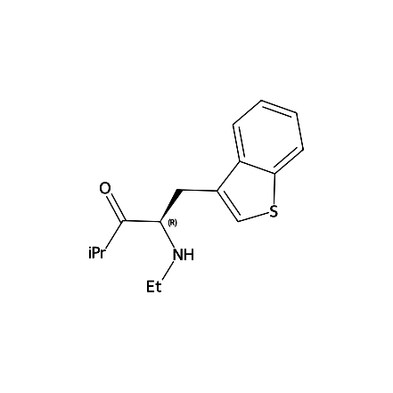 CCN[C@H](Cc1csc2ccccc12)C(=O)C(C)C